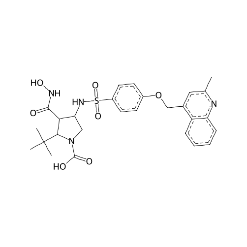 Cc1cc(COc2ccc(S(=O)(=O)NC3CN(C(=O)O)C(C(C)(C)C)C3C(=O)NO)cc2)c2ccccc2n1